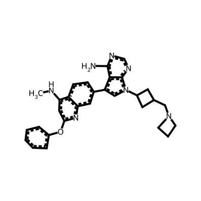 CNc1cc(Oc2ccccc2)nc2cc(-c3cn(C4CC(CN5CCC5)C4)c4ncnc(N)c34)ccc12